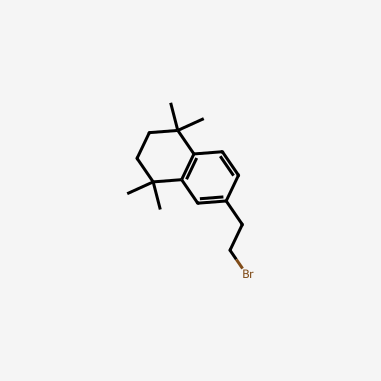 CC1(C)CCC(C)(C)c2cc(CCBr)ccc21